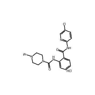 CC(C)N1CCN(C(=O)Nc2ccccc2C(=O)Nc2ccc(Cl)cn2)CC1.Cl